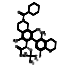 Cc1c(-c2c(C)c3c(c(C)c2[C@H](OC(C)(C)C)C(=O)O)CCN(C(=O)C2CCCCC2)C3)cc(F)c2c1CCCO2